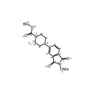 CON1C(=O)c2ccc(N3CCN(C(=O)OC(C)(C)C)[C@@H](C)C3)cc2C1=O